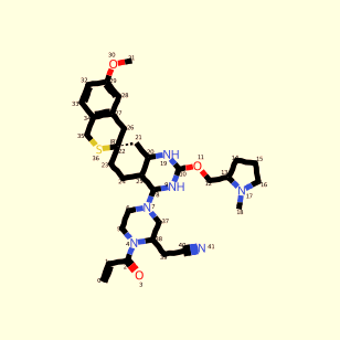 C=CC(=O)N1CCN(C2NC(OCC3CCCN3C)NC3C[C@@]4(CCC32)Cc2cc(OC)ccc2CS4)CC1CC#N